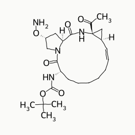 CC(=O)[C@@]12C[C@H]1/C=C\CCCCC[C@H](NC(=O)OC(C)(C)C)C(=O)N1C[C@H](ON)C[C@H]1C(=O)N2